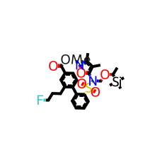 COC(=O)c1ccc(-c2ccccc2S(=O)(=O)N(COC(C)[Si](C)(C)C)c2onc(C)c2C)c(CCCF)c1